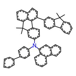 CC1(C)c2ccccc2-c2ccc(-c3ccc4cccc5c4c3-c3ccc(N(c4ccc(-c6ccccc6)cc4)c4cc6ccccc6c6ccccc46)cc3C5(C)C)cc21